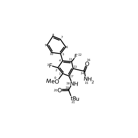 COc1c(F)c(-c2ccccc2)c(F)c(C(N)=O)c1NC(=O)C(C)(C)C